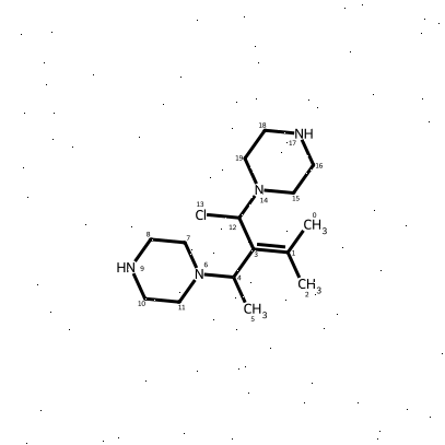 CC(C)=C(C(C)N1CCNCC1)C(Cl)N1CCNCC1